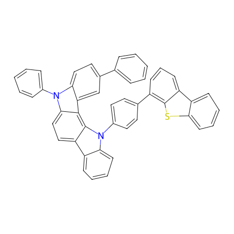 c1ccc(-c2ccc3c(c2)c2c(ccc4c5ccccc5n(-c5ccc(-c6cccc7c6sc6ccccc67)cc5)c42)n3-c2ccccc2)cc1